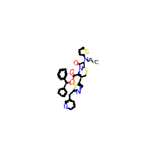 CC(=O)N(c1cccs1)C1C(=O)N2C(C(=O)OC(c3ccccc3)c3ccccc3)=C(c3cnc(Cc4cccnc4)s3)CSC12